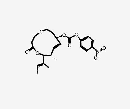 C/C(=C\I)[C@H]1OC(=O)CCCCC[C@@H](OC(=O)Oc2ccc([N+](=O)[O-])cc2)/C=C/[C@@H]1C